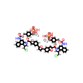 O=C(Nc1cc2c(c3ccccc13)C(CCl)CN2C(=O)c1cc2cc(-c3ccc(-c4ccc5oc(C(=O)N6CC(CCl)c7c6cc(NC(=O)OCc6ccc([N+](=O)[O-])c(OP(=O)(O)O)c6)c6ccccc76)cc5c4)o3)ccc2o1)OCc1ccc([N+](=O)[O-])c(OP(=O)(O)O)c1